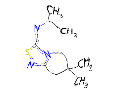 CC(C)/N=c1/snc2n1CC(C)(C)C2